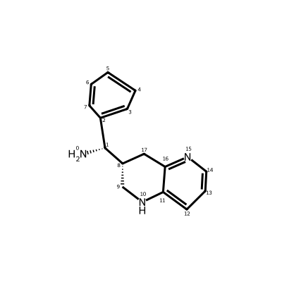 N[C@H](c1ccccc1)[C@H]1CNc2cccnc2C1